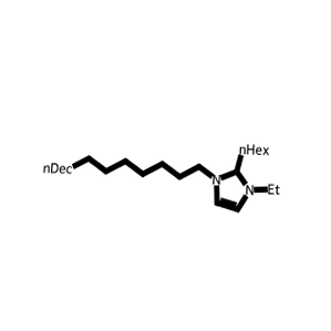 CCCCCCCCCCCCCCCCCN1C=CN(CC)C1CCCCCC